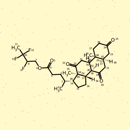 CC(CCC(=O)OCC(F)C(C)(F)F)[C@H]1CC[C@H]2[C@@H]3C(=O)C[C@@H]4CC(=O)CC[C@]4(C)[C@H]3CC(=O)[C@]12C